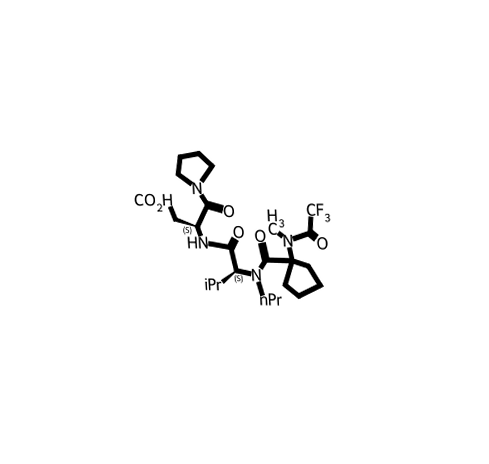 CCCN(C(=O)C1(N(C)C(=O)C(F)(F)F)CCCC1)[C@H](C(=O)N[C@@H](CC(=O)O)C(=O)N1CCCC1)C(C)C